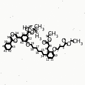 CCOC(=O)CCCOc1cccc(CCCCCCOc2cc(C(=O)OC(C)(C)C)cc(C3=COC=C(C4=CC=CCC4)O3)c2)c1CCC(=O)OCC